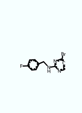 Fc1ccc(CNc2nccc(Br)n2)cc1